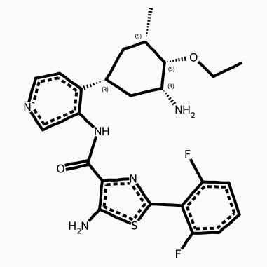 CCO[C@@H]1[C@H](N)C[C@H](c2ccncc2NC(=O)c2nc(-c3c(F)cccc3F)sc2N)C[C@@H]1C